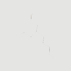 CCCCCC(CCBr)CCBr